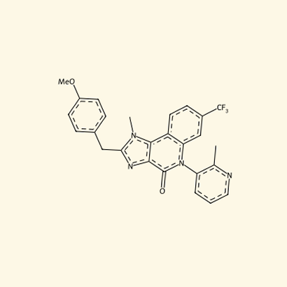 COc1ccc(Cc2nc3c(=O)n(-c4cccnc4C)c4cc(C(F)(F)F)ccc4c3n2C)cc1